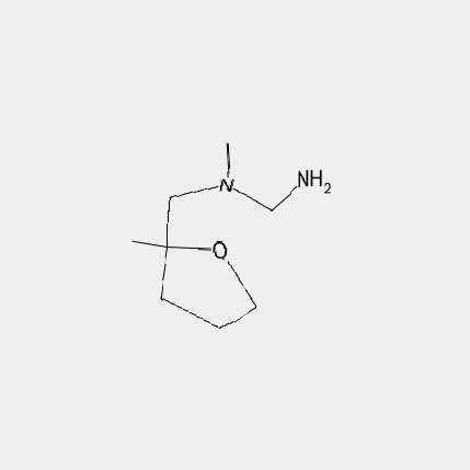 CN(CN)CC1(C)CCCO1